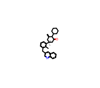 C=C1C[C@](C)(c2cccc(Cc3cnc4ccccc4c3)c2C)CC(=O)C1C1CCCCC1